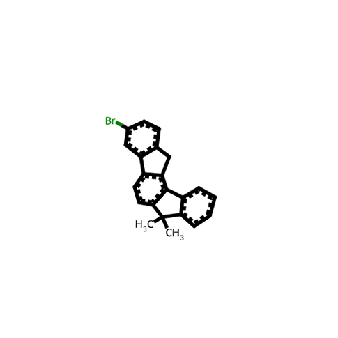 CC1(C)c2ccccc2-c2c1ccc1c2Cc2ccc(Br)cc2-1